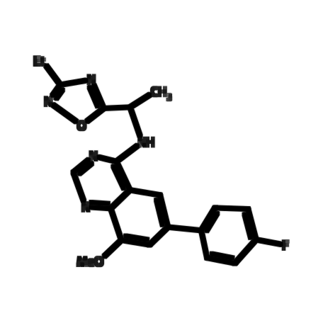 CCc1noc(C(C)Nc2ncnc3c(OC)cc(-c4ccc(F)cc4)cc23)n1